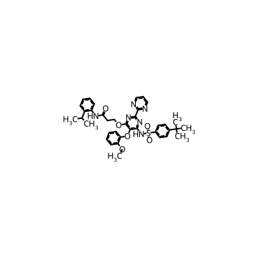 COc1ccccc1Oc1c(NS(=O)(=O)c2ccc(C(C)(C)C)cc2)nc(-c2ncccn2)nc1OCCC(=O)Nc1ccccc1C(C)C